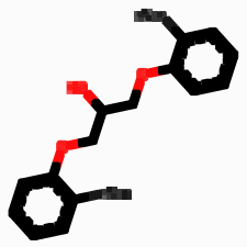 CCCCCCCCCc1ccccc1OCC(O)COc1ccccc1CCCCCCCCC